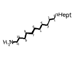 CCCCCCCCCCCCCCCC[CH]CN